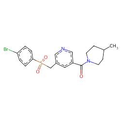 CC1CCN(C(=O)c2cncc(CS(=O)(=O)c3ccc(Br)cc3)c2)CC1